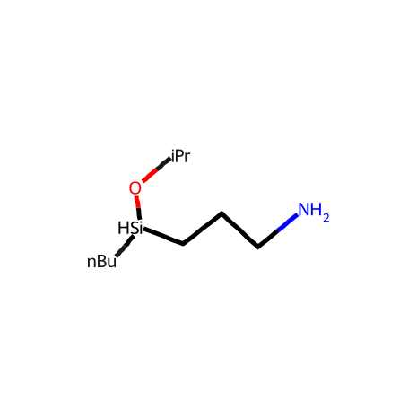 CCCC[SiH](CCCN)OC(C)C